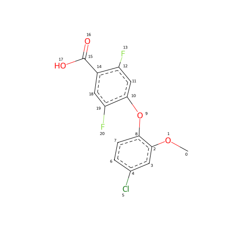 COc1cc(Cl)ccc1Oc1cc(F)c(C(=O)O)cc1F